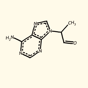 CC(C=O)n1cnc2c(N)ncnc21